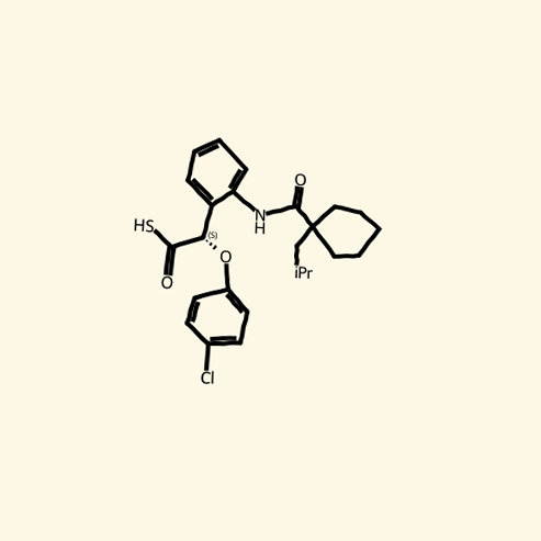 CC(C)CC1(C(=O)Nc2ccccc2[C@H](Oc2ccc(Cl)cc2)C(=O)S)CCCCC1